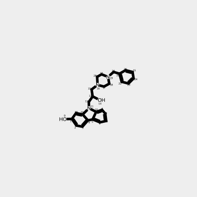 Oc1ccc2c3ccccc3n(CC(O)CN3CCN(Cc4ccccc4)CC3)c2c1